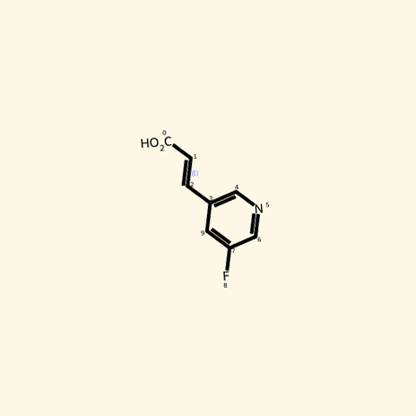 O=C(O)/C=C/c1cncc(F)c1